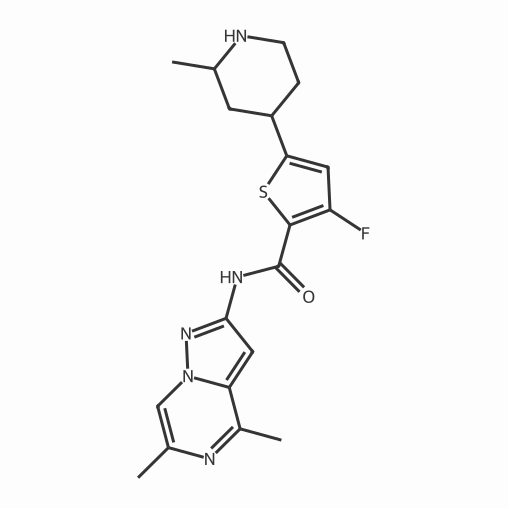 Cc1cn2nc(NC(=O)c3sc(C4CCNC(C)C4)cc3F)cc2c(C)n1